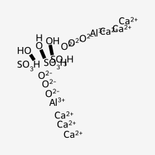 O=S(=O)(O)O.O=S(=O)(O)O.O=S(=O)(O)O.[Al+3].[Al+3].[Ca+2].[Ca+2].[Ca+2].[Ca+2].[Ca+2].[Ca+2].[O-2].[O-2].[O-2].[O-2].[O-2].[O-2]